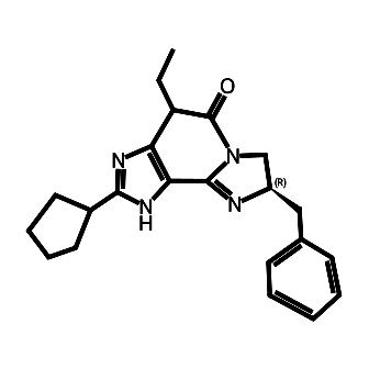 CCC1C(=O)N2C[C@@H](Cc3ccccc3)N=C2c2[nH]c(C3CCCC3)nc21